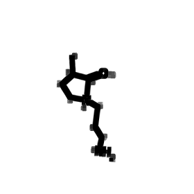 CC1CCN(CCCN)C1=O